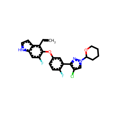 C=Cc1c(Oc2ccc(F)c(-c3nn(C4CCCCO4)cc3Cl)c2)c(F)cc2[nH]ccc12